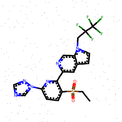 CCS(=O)(=O)c1ccc(-n2cncn2)nc1-c1cc2ccn(CC(F)(F)C(F)(F)F)c2cn1